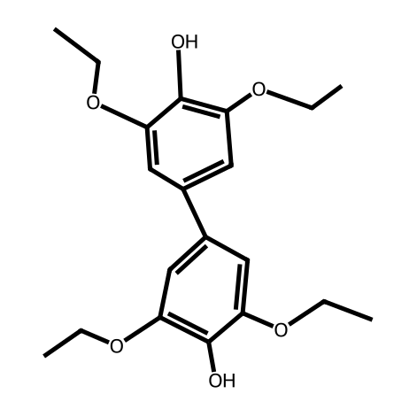 CCOc1cc(-c2cc(OCC)c(O)c(OCC)c2)cc(OCC)c1O